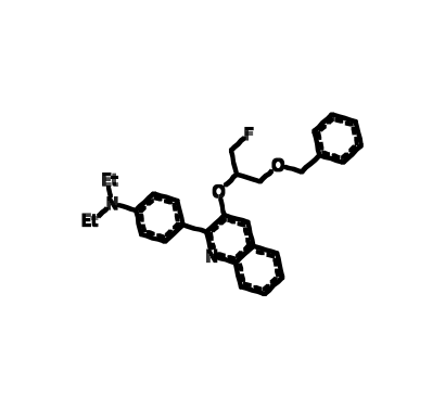 CCN(CC)c1ccc(-c2nc3ccccc3cc2OC(CF)COCc2ccccc2)cc1